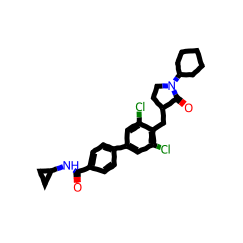 O=C(NC1CC1)c1ccc(-c2cc(Cl)c(CC3CCN(C4CCCCC4)C3=O)c(Cl)c2)cc1